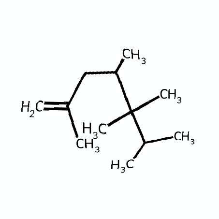 C=C(C)CC(C)C(C)(C)C(C)C